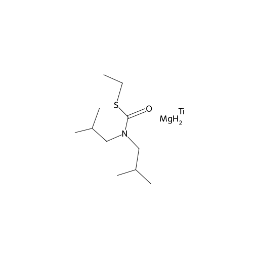 CCSC(=O)N(CC(C)C)CC(C)C.[MgH2].[Ti]